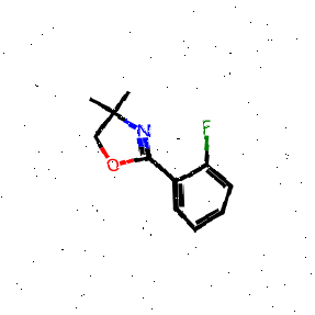 CC1(C)COC(c2ccccc2F)=N1